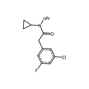 CCCN(C(=O)Cc1cc(F)cc(Cl)c1)C1CC1